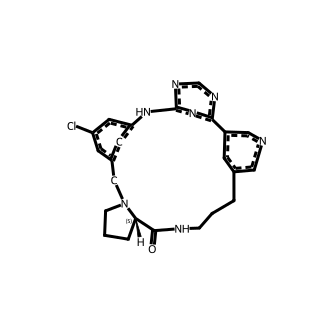 O=C1NCCCc2cncc(c2)-c2ncnc(n2)Nc2cc(Cl)cc(c2)CN2CCC[C@@H]12